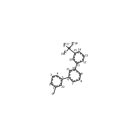 Cc1cccc(-c2cccc(-c3cccc(C(F)(F)F)c3)c2)c1